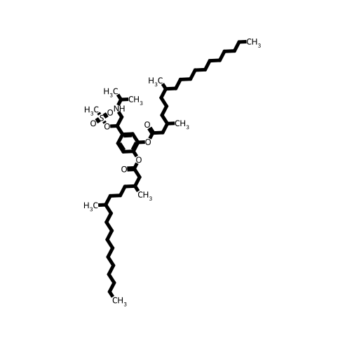 CCCCCCCCCCCC(C)CCCC(C)CC(=O)Oc1ccc(C(CNC(C)C)OS(C)(=O)=O)cc1OC(=O)CC(C)CCCC(C)CCCCCCCCCCC